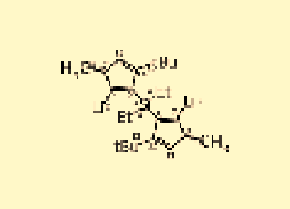 [Li][C]1=C([Si](CC)(CC)C2=[C]([Li])C(C)C=C2C(C)(C)C)C(C(C)(C)C)=CC1C